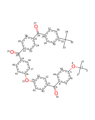 CC(C)(C)Oc1ccc(C(=O)c2ccc(Oc3ccc(C(=O)c4ccc(C(=O)c5ccc(C(C)(C)C)cc5)cc4)cc3)cc2)cc1